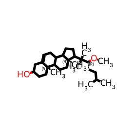 CO[C@H](CCC(C)C)C(C)(C)C1CCC2C3CC=C4CC(O)CC[C@@]4(C)C3CC[C@]21C